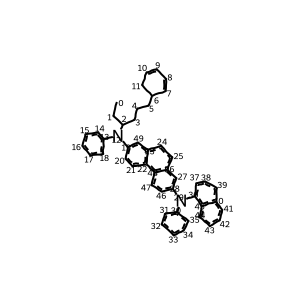 CCC(CCCC1C=CC=CC1)N(c1ccccc1)c1ccc2c(ccc3cc(N(c4ccccc4)c4cccc5ccccc45)ccc32)c1